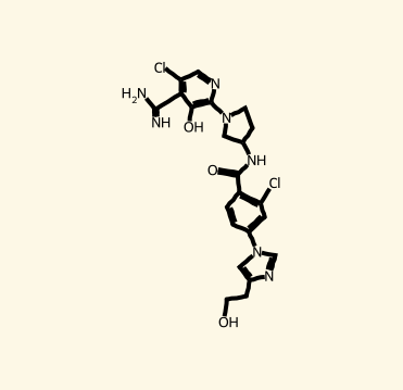 N=C(N)c1c(Cl)cnc(N2CCC(NC(=O)c3ccc(-n4cnc(CCO)c4)cc3Cl)C2)c1O